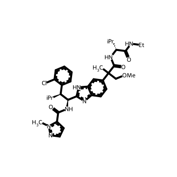 CCNC(=O)[C@H](NC(=O)C(C)(COC)c1ccc2nc([C@@H](NC(=O)c3ccnn3C)[C@H](c3ccccc3Cl)C(C)C)[nH]c2c1)C(C)C